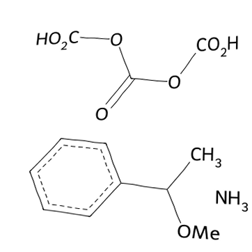 COC(C)c1ccccc1.N.O=C(O)OC(=O)OC(=O)O